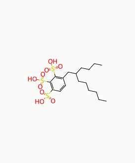 CCCCCCC(CCCC)Cc1ccc(S(=O)(=O)O)c(S(=O)(=O)O)c1S(=O)(=O)O